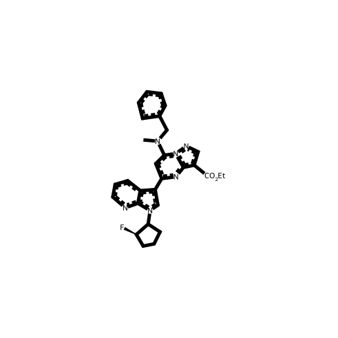 CCOC(=O)c1cnn2c(N(C)Cc3ccccc3)cc(-c3cn(C4CCC[C@H]4F)c4ncccc34)nc12